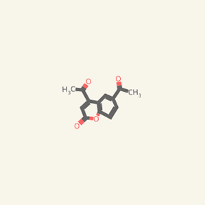 CC(=O)c1ccc2oc(=O)cc(C(C)=O)c2c1